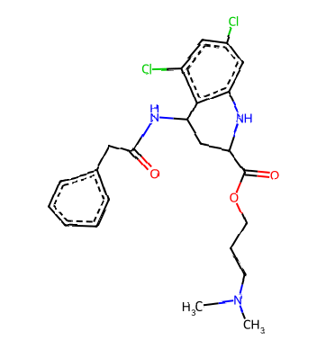 CN(C)CCCOC(=O)C1CC(NC(=O)Cc2ccccc2)c2c(Cl)cc(Cl)cc2N1